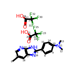 Cc1cnc2[nH]c(-c3ccc(N(C)C)cc3)nc2c1.O=C(O)C(F)(F)F.O=C(O)C(F)(F)F